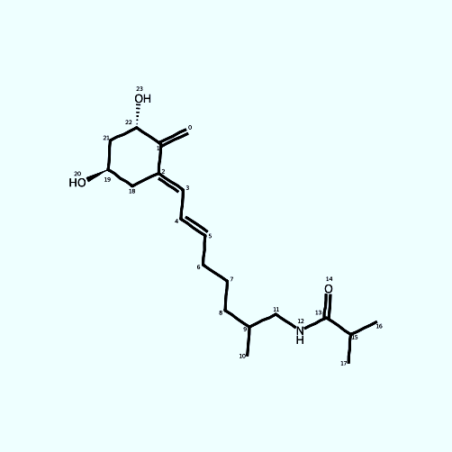 C=C1C(=CC=CCCCC(C)CNC(=O)C(C)C)C[C@@H](O)C[C@@H]1O